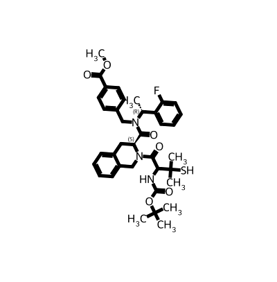 COC(=O)c1ccc(CN(C(=O)[C@@H]2Cc3ccccc3CN2C(=O)C(NC(=O)OC(C)(C)C)C(C)(C)S)[C@H](C)c2ccccc2F)cc1